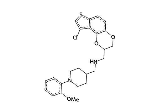 COc1ccccc1N1CCC(CNCC2COc3ccc4scc(Cl)c4c3O2)CC1